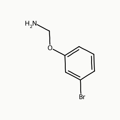 NCOc1cccc(Br)c1